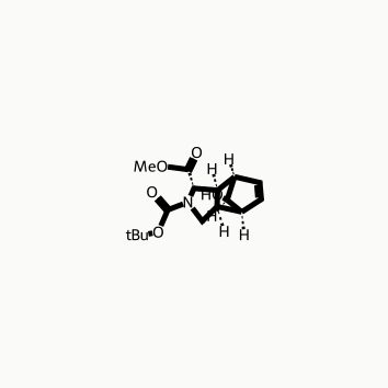 COC(=O)[C@@H]1[C@H]2[C@H]3C=C[C@H]([C@H]3O)[C@H]2CN1C(=O)OC(C)(C)C